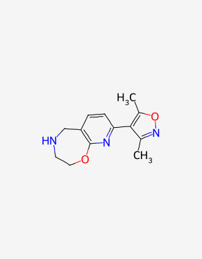 Cc1noc(C)c1-c1ccc2c(n1)OCCNC2